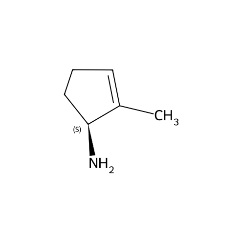 CC1=CCC[C@@H]1N